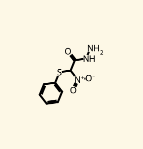 NNC(=O)C(Sc1ccccc1)[N+](=O)[O-]